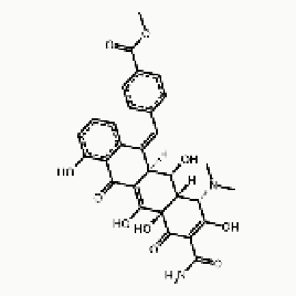 COC(=O)c1ccc(/C=C2\c3cccc(O)c3C(=O)C3=C(O)[C@@]4(O)C(=O)C(C(N)=O)=C(O)[C@@H](N(C)C)[C@H]4[C@H](O)[C@@H]32)cc1